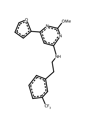 COc1nc(NCCc2cccc(C(F)(F)F)c2)cc(-c2ccco2)n1